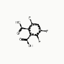 O=C(O)c1c(F)cc(F)c(F)c1C(=O)O